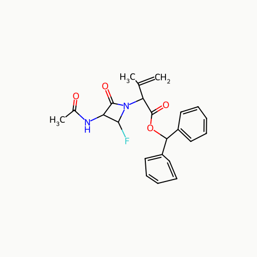 C=C(C)C(C(=O)OC(c1ccccc1)c1ccccc1)N1C(=O)C(NC(C)=O)C1F